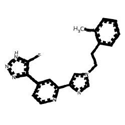 Cc1ccccc1CCn1cnc(-c2cc(-c3nn[nH]c3F)ccn2)c1